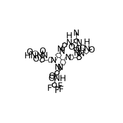 COc1cc2nn([C@H]3CC[C@H](CN4CCC(c5cccc6c5n(C)c(=O)n6C5CCC(=O)NC5O)CC4)C(C4C[C@@H](n5cc6cc(NC(=O)c7cncc(C#N)c7)ccc6n5)CC[C@@H]4CN4CCC(c5cccc6c5n(C)c(=O)n6C5CCC(=O)NC5=O)CC4)C3)cc2cc1NC(=O)c1cc(F)cc(C(F)(F)F)c1